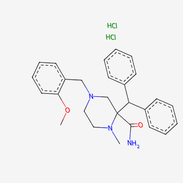 COc1ccccc1CN1CCN(C)C(C(N)=O)(C(c2ccccc2)c2ccccc2)C1.Cl.Cl